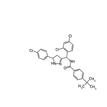 CC(C)(C)c1ccc(C(=O)NC(C2=NNC(c3ccc(Cl)cc3)C2)c2ccc(Cl)cc2Cl)cc1